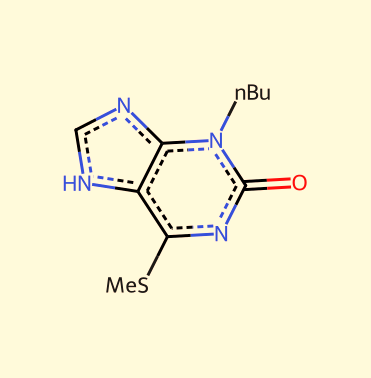 CCCCn1c(=O)nc(SC)c2[nH]cnc21